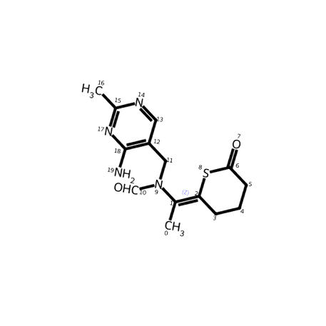 C/C(=C1\CCCC(=O)S1)N(C=O)Cc1cnc(C)nc1N